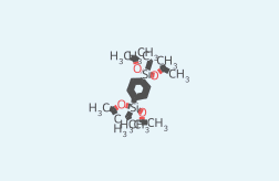 CC[Si](OC(C)C)(OC(C)C)c1ccc([Si](CC)(OC(C)C)OC(C)C)cc1